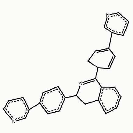 C1=CC(C2=NC(c3ccc(-c4cccnc4)cc3)Cc3ccccc32)CC=C1c1cccnc1